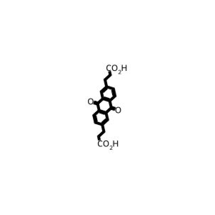 O=C(O)CCc1ccc2c(c1)C(=O)c1ccc(CCC(=O)O)cc1C2=O